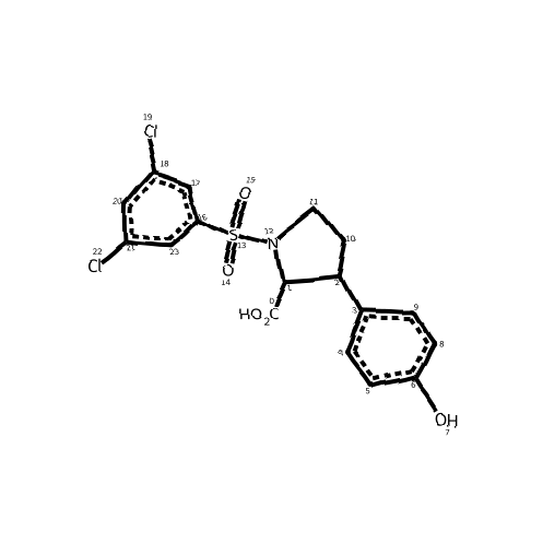 O=C(O)C1C(c2ccc(O)cc2)CCN1S(=O)(=O)c1cc(Cl)cc(Cl)c1